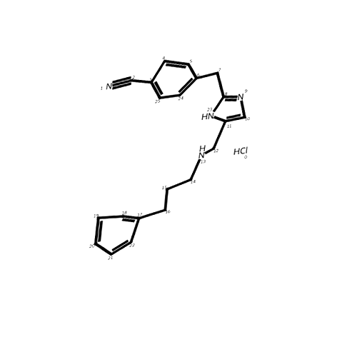 Cl.N#Cc1ccc(Cc2ncc(CNCCCc3ccccc3)[nH]2)cc1